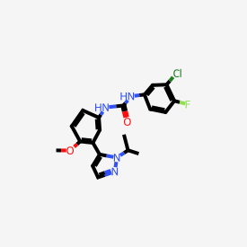 COc1ccc(NC(=O)Nc2ccc(F)c(Cl)c2)cc1-c1ccnn1C(C)C